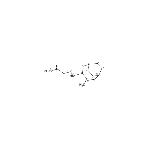 CCCCCCNCCNC1CC2CCC(=CC1C)CC2